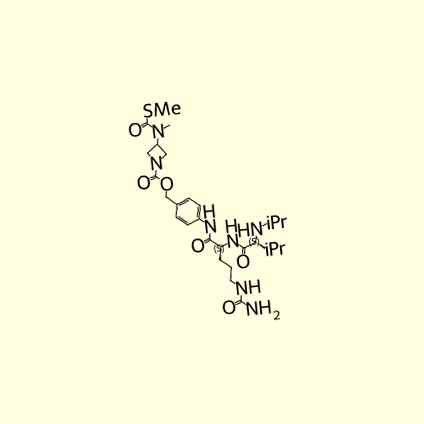 CSC(=O)N(C)C1CN(C(=O)OCc2ccc(NC(=O)[C@H](CCCNC(N)=O)NC(=O)[C@@H](NC(C)C)C(C)C)cc2)C1